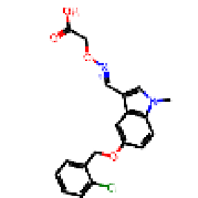 Cn1cc(/C=N/OCC(=O)O)c2cc(OCc3ccccc3Cl)ccc21